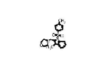 Cc1ccc(S(=O)(=O)n2c(CN3CCOCC3)c(C)c3ccccc32)cc1